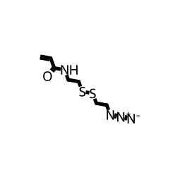 C=CC(=O)NCCSSCCN=[N+]=[N-]